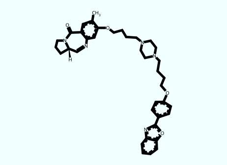 Cc1cc2c(cc1OCCCCN1CCN(CCCCOc3ccc(-c4nc5ccccc5o4)cc3)CC1)N=C[C@@H]1CCCN1C2=O